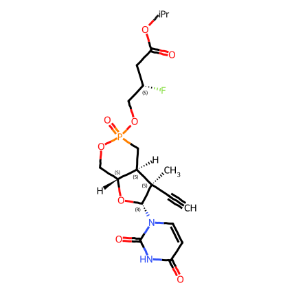 C#C[C@]1(C)[C@@H]2CP(=O)(OC[C@@H](F)CC(=O)OC(C)C)OC[C@H]2O[C@H]1n1ccc(=O)[nH]c1=O